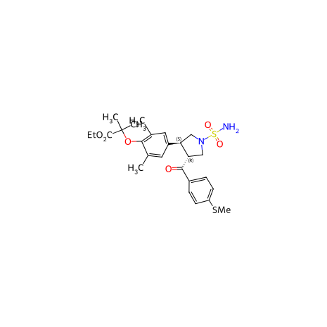 CCOC(=O)C(C)(C)Oc1c(C)cc([C@H]2CN(S(N)(=O)=O)C[C@@H]2C(=O)c2ccc(SC)cc2)cc1C